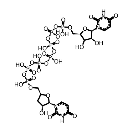 O=c1ccn([C@@H]2O[C@H](COP(=O)(O)OP(=O)(O)OP(=O)(O)OP(=O)(O)OP(=O)(O)OP(=O)(O)OP(=O)(O)OC[C@H]3O[C@@H](n4ccc(=O)[nH]c4=O)[C@@H](O)C3O)C[C@@H]2O)c(=O)[nH]1